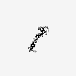 CCCCOc1nc(N)c2[nH]c(=O)n(CCC[C@@]3(N)CCN(CC(=O)NCc4ccc(CC(=O)OC)cc4)C3)c2n1